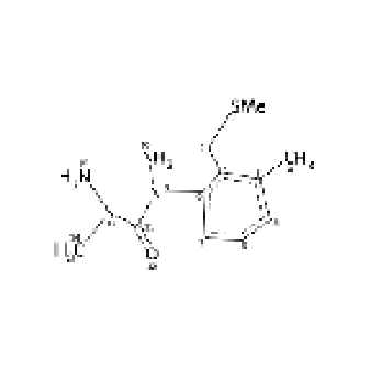 CSCc1c(C)cccc1N(N)C(=O)N(C)N